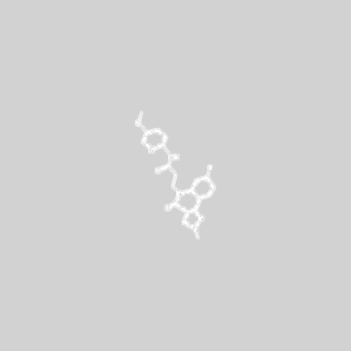 COc1ccc(NC(=O)CCn2c(=O)c3cn(C)nc3c3ccc(F)cc32)nc1